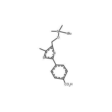 Cc1sc(-c2ccc(C(=O)O)cc2)nc1CO[Si](C)(C)C(C)(C)C